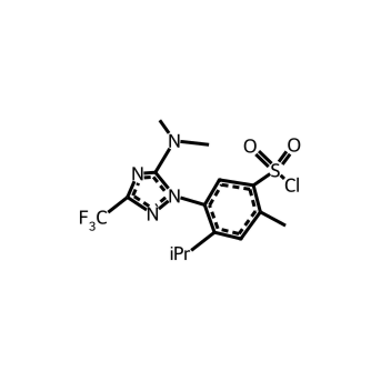 Cc1cc(C(C)C)c(-n2nc(C(F)(F)F)nc2N(C)C)cc1S(=O)(=O)Cl